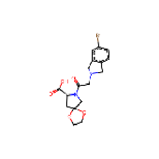 O=C(O)[C@@H]1CC2(CN1C(=O)CN1Cc3ccc(Br)cc3C1)OCCO2